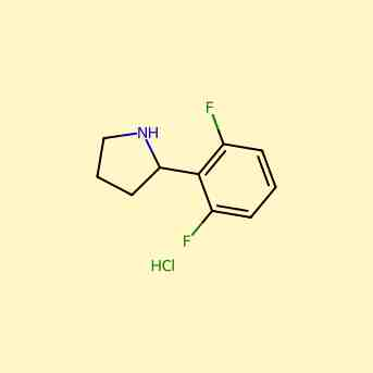 Cl.Fc1cccc(F)c1C1CCCN1